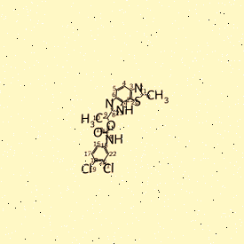 Cc1nc2ccc3nc([C@H](C)OC(=O)Nc4ccc(Cl)c(Cl)c4)[nH]c3c2s1